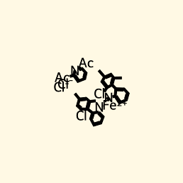 CC(=O)c1cccc(C(C)=O)n1.Cc1cc(C)c(-c2ccccc2[N]=[Fe+2]=[N]c2ccccc2-c2c(C)cc(C)cc2Cl)c(Cl)c1.[Cl-].[Cl-]